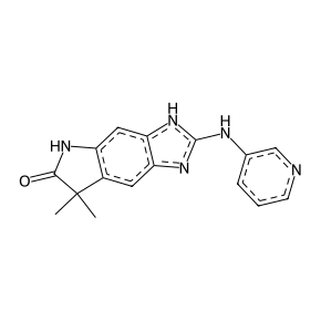 CC1(C)C(=O)Nc2cc3[nH]c(Nc4cccnc4)nc3cc21